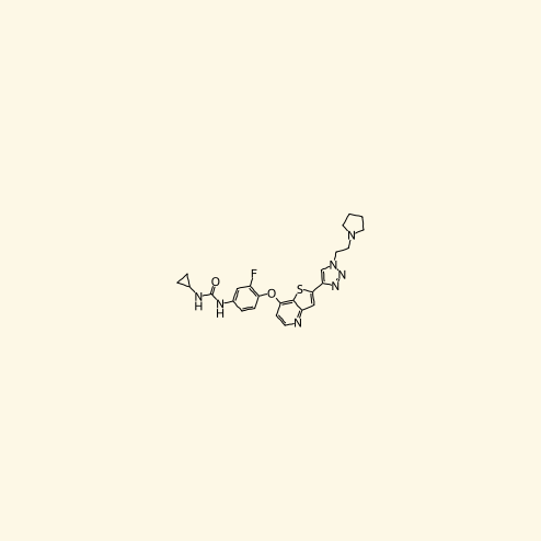 O=C(Nc1ccc(Oc2ccnc3cc(-c4cn(CCN5CCCC5)nn4)sc23)c(F)c1)NC1CC1